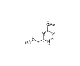 COc1ccnc(COC(C)(C)C)c1